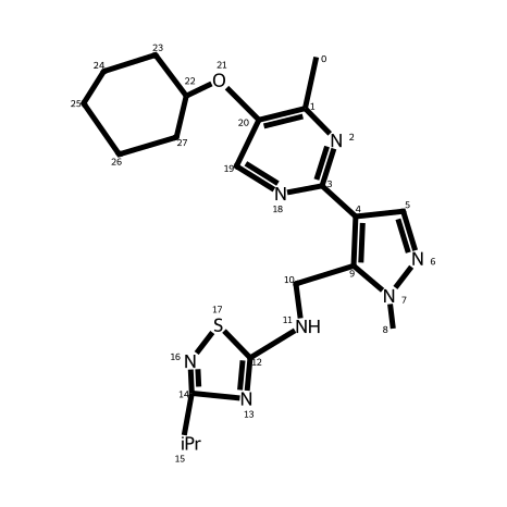 Cc1nc(-c2cnn(C)c2CNc2nc(C(C)C)ns2)ncc1OC1CCCCC1